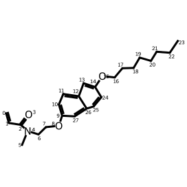 C=CC(=O)N(C)CCOc1ccc2cc(OCCCCCCCC)ccc2c1